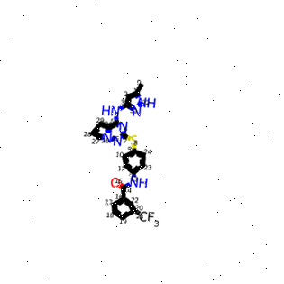 Cc1cc(Nc2nc(Sc3ccc(NC(=O)c4cccc(C(F)(F)F)c4)cc3)nn3cccc23)n[nH]1